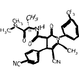 CC1=C(C#N)C(c2ccc(C#N)cc2)C(C(=O)N[C@@H](C)C(=O)N(C)C)C(=O)N1c1cccc(C(F)(F)F)c1